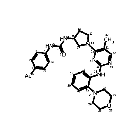 CC(=O)c1ccc(NC(=O)NC2CCN(c3nc(Nc4ccccc4N4CCOCC4)ncc3C)C2)cc1